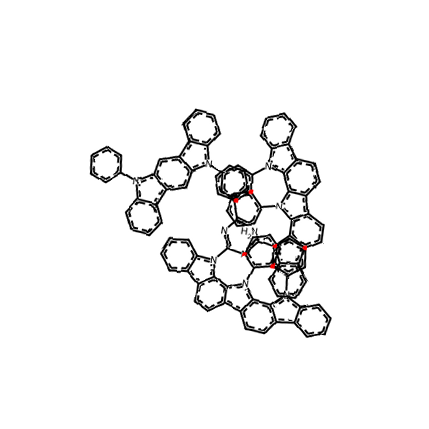 C=C(/N=C(\N=C(/N)n1c2ccccc2c2ccc3c4ccc5c6ccccc6n(-c6cccc(-n7c8ccccc8c8cc9c(cc87)c7ccccc7n9-c7ccccc7)c6)c5c4n(-c4ccccc4)c3c21)n1c2ccccc2c2ccc3c4ccc5c6ccccc6n(-c6ccccc6)c5c4n(-c4ccccc4)c3c21)c1ccccc1